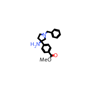 COC(=O)c1ccc(C2(N)CCN(Cc3ccccc3)C2)cc1